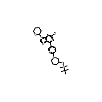 CC(C)(C)[Si](C)(C)OC1CCCN(c2ccc(-c3nc(Cl)nc4c3ncn4C3CCCCO3)cn2)C1